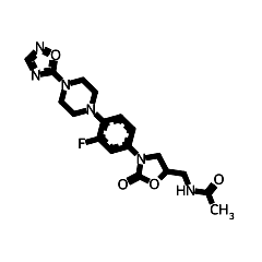 CC(=O)NCC1CN(c2ccc(N3CCN(c4ncno4)CC3)c(F)c2)C(=O)O1